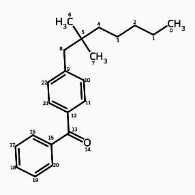 CCCCCC(C)(C)Cc1ccc(C(=O)c2ccccc2)cc1